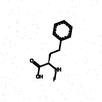 O=C(O)[C@H](CCc1ccccc1)NF